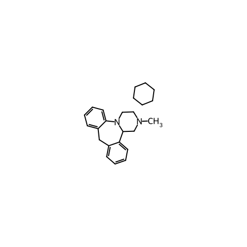 C1CCCCC1.CN1CCN2c3ccccc3Cc3ccccc3C2C1